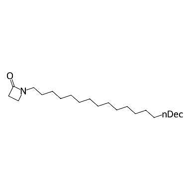 CCCCCCCCCCCCCCCCCCCCCCCCN1CCC1=O